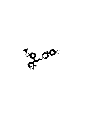 Cc1ncccc1C(=CCCN1CCC(C)(c2ccc(Cl)cc2)CC1)c1cccc(OC2CC2)c1